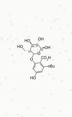 CCCCc1cc(O)cc(OC2O[C@H](O)[C@@H](O)[C@H](O)[C@H]2CO)c1C(=O)O